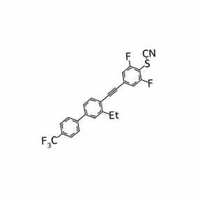 CCc1cc(-c2ccc(C(F)(F)F)cc2)ccc1C#Cc1cc(F)c(SC#N)c(F)c1